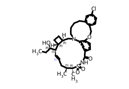 CC[C@@H](O)[C@@H]1/C=C/C[C@H](C)[C@@H](C)S(=O)(=O)NC(=O)c2ccc3c(c2)N(CCCCc2cc(Cl)ccc2CO3)C[C@@H]2CC[C@H]21